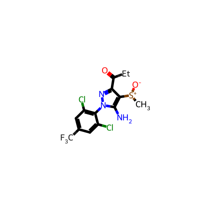 CCC(=O)c1nn(-c2c(Cl)cc(C(F)(F)F)cc2Cl)c(N)c1[S+](C)[O-]